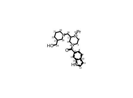 CC(C)N1CCN(C(=O)c2ccc3cc[nH]c3c2)CC1CN1CCCC(CO)C1